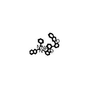 c1ccc(C2=NC(c3ccc4ccccc4c3)=NC(c3cccc4oc5c(-c6cccc7oc8cc9ccccc9cc8c67)cccc5c34)N2)cc1